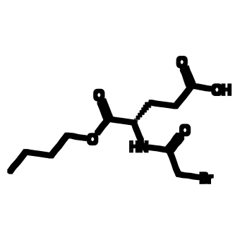 CCCCOC(=O)[C@H](CCC(=O)O)NC(=O)CBr